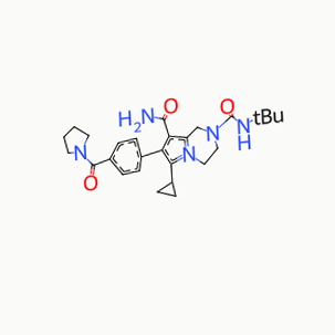 CC(C)(C)NC(=O)N1CCn2c(c(C(N)=O)c(-c3ccc(C(=O)N4CCCC4)cc3)c2C2CC2)C1